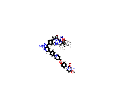 Cc1cc(-c2n[nH]c3ncc(-c4ccc(N5CCC(COc6ccc(N7CCC(=O)NC7=O)cc6)CC5)cc4)cc23)ccc1[C@@H](C)NC(=O)c1noc(C(C)(C)C)n1